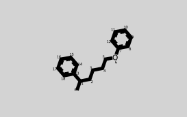 CC(CCCCOc1ccccc1)c1ccccc1